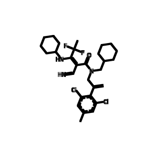 C=C(CN(CC1CCCCC1)C(=O)/C(C=N)=C(/NC1CCCCC1)C(C)(F)F)c1c(Cl)cc(C)cc1Cl